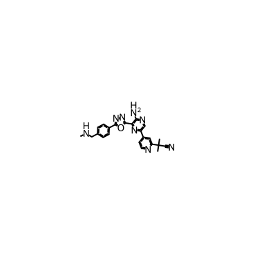 CNCc1ccc(-c2nnc(-c3nc(-c4ccnc(C(C)(C)C#N)c4)cnc3N)o2)cc1